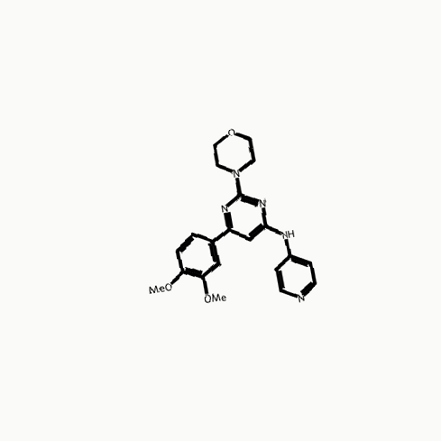 COc1ccc(-c2cc(Nc3ccncc3)nc(N3CCOCC3)n2)cc1OC